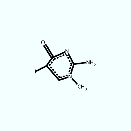 Cn1cc(I)c(=O)nc1N